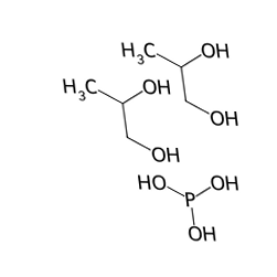 CC(O)CO.CC(O)CO.OP(O)O